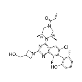 C=CC(=O)N1C[C@@H](C)N(c2nc(N3CC(CO)C3)nc3c(F)c(-c4c(O)cccc4F)c(Cl)cc23)[C@@H](C)C1